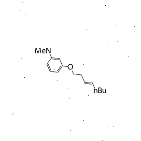 CCCC/C=C/CCOc1cccc(NC)c1